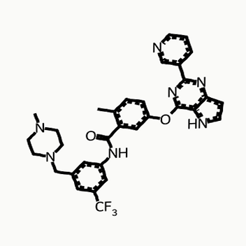 Cc1ccc(Oc2nc(-c3cccnc3)nc3cc[nH]c23)cc1C(=O)Nc1cc(CN2CCN(C)CC2)cc(C(F)(F)F)c1